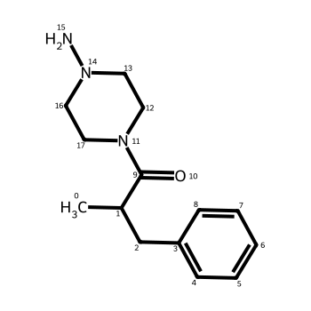 CC(Cc1ccccc1)C(=O)N1CCN(N)CC1